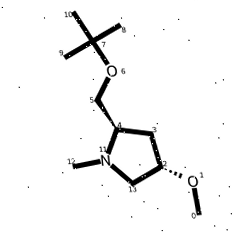 CO[C@H]1C[C@H](COC(C)(C)C)N(C)C1